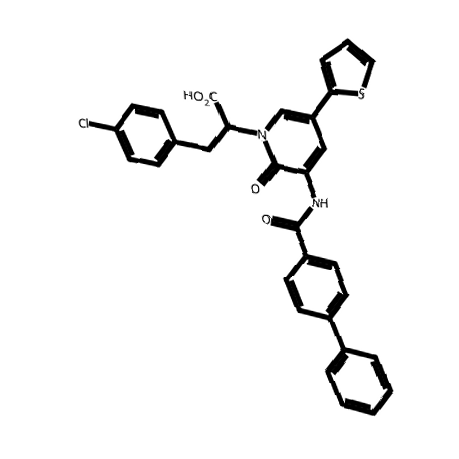 O=C(Nc1cc(-c2cccs2)cn(C(Cc2ccc(Cl)cc2)C(=O)O)c1=O)c1ccc(-c2ccccc2)cc1